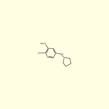 COc1cc(NN2CCCC2)cnc1Cl